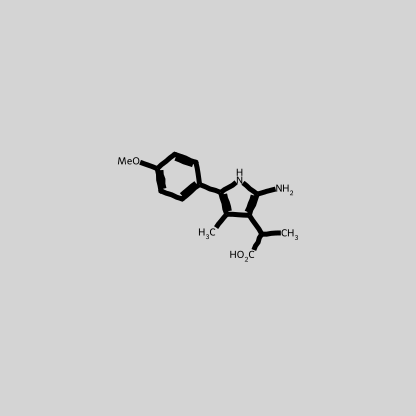 COc1ccc(-c2[nH]c(N)c(C(C)C(=O)O)c2C)cc1